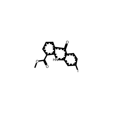 COC(=O)c1cccc2c(=O)c3ccc(I)cc3[nH]c12